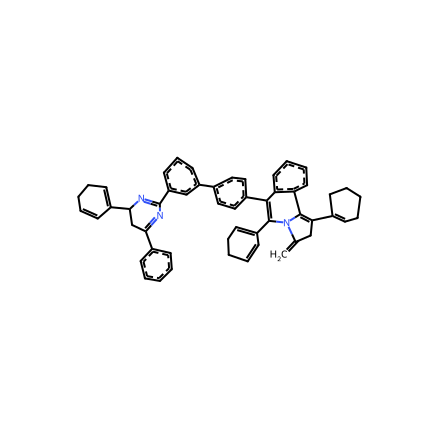 C=C1CC(C2=CCCCC2)=C2c3ccccc3C(c3ccc(-c4cccc(C5=NC(C6=CCCC=C6)CC(c6ccccc6)=N5)c4)cc3)=C(C3=CCCC=C3)N12